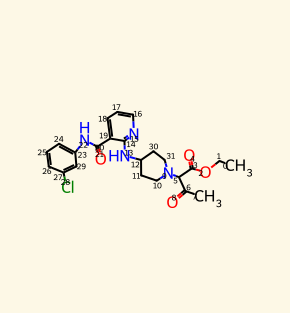 CCOC(=O)C(C(C)=O)N1CCC(Nc2ncccc2C(=O)Nc2cccc(Cl)c2)CC1